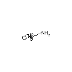 NCCCCCCS(=O)(=O)N1CCc2ccccc2C1